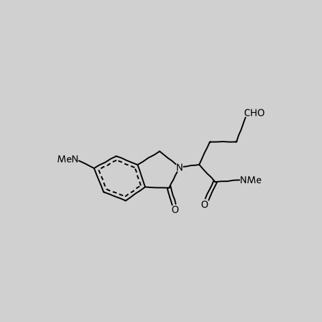 CNC(=O)C(CCC=O)N1Cc2cc(NC)ccc2C1=O